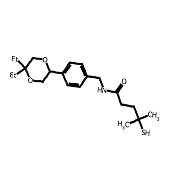 CCC1(CC)COC(c2ccc(CNC(=O)CCC(C)(C)S)cc2)CO1